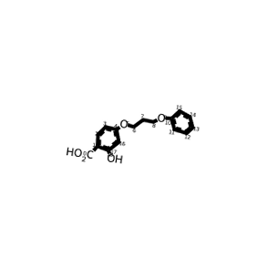 O=C(O)c1ccc(OCCCOc2ccccc2)cc1O